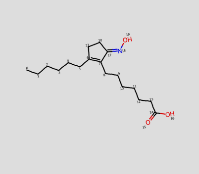 CCCCCCC1=C(CCCCCCC(=O)O)C(=NO)CC1